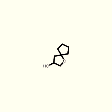 OC1COC2(CCCC2)C1